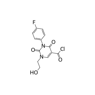 O=C(Cl)c1cn(CCO)c(=O)n(-c2ccc(F)cc2)c1=O